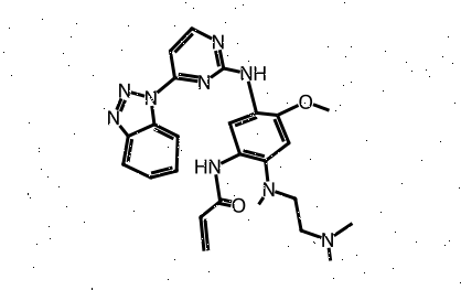 C=CC(=O)Nc1cc(Nc2nccc(-n3nnc4ccccc43)n2)c(OC)cc1N(C)CCN(C)C